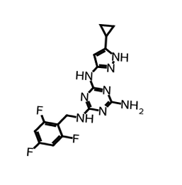 Nc1nc(NCc2c(F)cc(F)cc2F)nc(Nc2cc(C3CC3)[nH]n2)n1